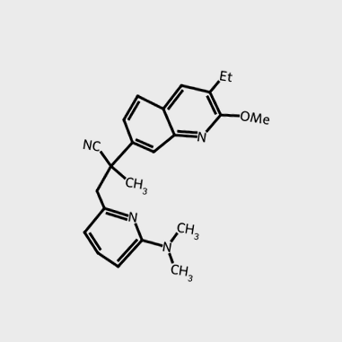 CCc1cc2ccc(C(C)(C#N)Cc3cccc(N(C)C)n3)cc2nc1OC